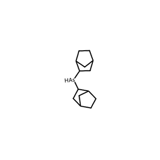 C1CC2CC1CC2[AsH]C1CC2CCC1C2